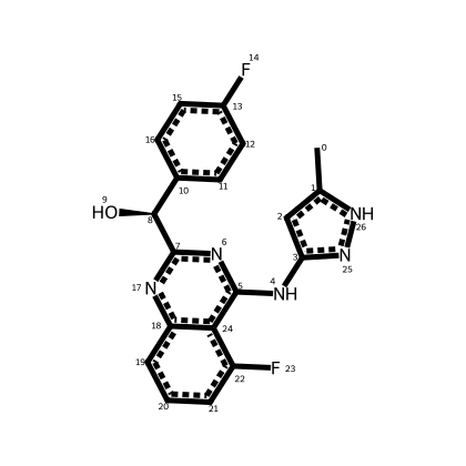 Cc1cc(Nc2nc([C@@H](O)c3ccc(F)cc3)nc3cccc(F)c23)n[nH]1